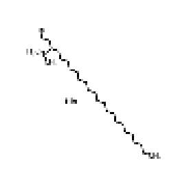 Br.CCCCCCCCCCCCCCCCCCCCCC(CCBr)N(C)C